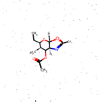 CCC1O[C@@H]2OC(C)=N[C@H]2C(OC(C)=O)[C@H]1C